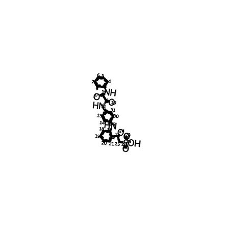 O=C(Nc1ccccc1)C(=O)Nc1ccc(Nc2ccccc2C(=O)CS(=O)(=O)O)cc1